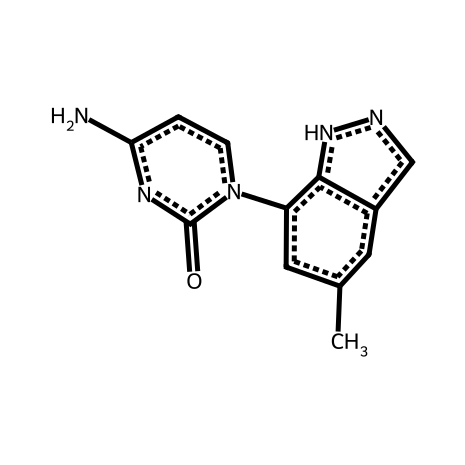 Cc1cc(-n2ccc(N)nc2=O)c2[nH]ncc2c1